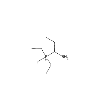 BC(CC)[PH](CC)(CC)CC